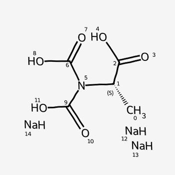 C[C@@H](C(=O)O)N(C(=O)O)C(=O)O.[NaH].[NaH].[NaH]